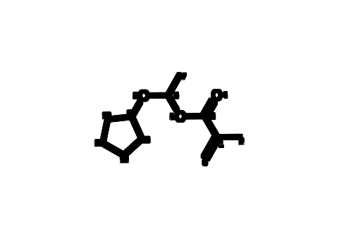 C=C(C)C(=O)OC(C)OC1CCCC1